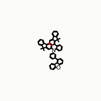 CC1(C)c2ccccc2-c2ccc(N(c3cccc(-c4cccc5oc6ccccc6c45)c3)c3ccccc3-c3cccc4c3C(C)(C)c3ccccc3-4)cc21